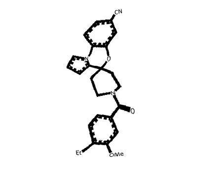 CCc1ccc(C(=O)N2CCC3(CC2)Oc2cc(C#N)ccc2-n2cccc23)cc1OC